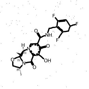 C[C@@H]1CO[C@@]23CCC[C@@H]2n2cc(C(=O)NCC4=C(F)CC(F)C=C4F)c(=O)c(O)c2C(=O)N13